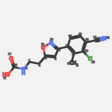 Cc1c(-c2cc(CCNC(=O)O)on2)ccc(C#N)c1Cl